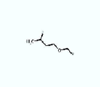 [CH2]C(F)CCOCF